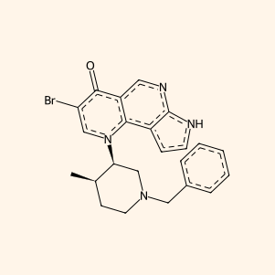 C[C@@H]1CCN(Cc2ccccc2)C[C@@H]1n1cc(Br)c(=O)c2cnc3[nH]ccc3c21